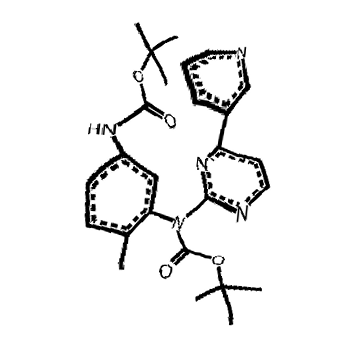 Cc1ccc(NC(=O)OC(C)(C)C)cc1N(C(=O)OC(C)(C)C)c1nccc(-c2cccnc2)n1